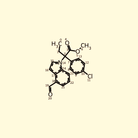 CCC(C(=O)OC)(c1ccc(Cl)cc1)n1ccc2c(C=O)cccc21